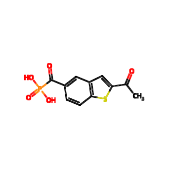 CC(=O)c1cc2cc(C(=O)P(=O)(O)O)ccc2s1